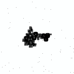 CCCc1cc(OC(=O)CCCO[N+](=O)[O-])c2c(c1)OC(C)(C)C1CCC(C)=CC21